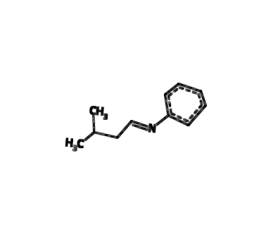 CC(C)CC=Nc1ccccc1